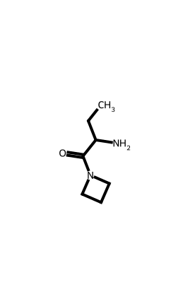 CCC(N)C(=O)N1CCC1